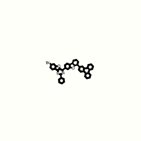 Brc1ccc2c(c1)oc1c(-c3ccc4c(c3)OC3C(c5ccc6c7ccccc7c7ccccc7c6c5)=CC=CC43)nc(-c3ccccc3)nc12